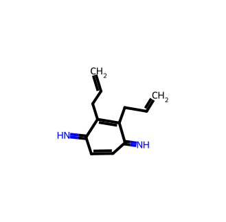 C=CCC1=C(CC=C)C(=N)C=CC1=N